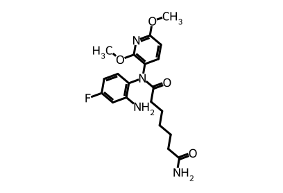 COc1ccc(N(C(=O)CCCCCC(N)=O)c2ccc(F)cc2N)c(OC)n1